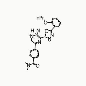 CCCOc1ccccc1C1=NN(C)C(C2=C(N)N(C)CC(c3ccc(C(=O)N(C)C)cc3)=N2)O1